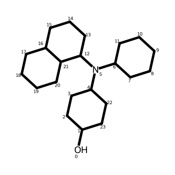 OC1CCC(N(C2CCCCC2)C2CCCC3CCCCC32)CC1